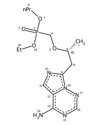 CCCOP(=O)(CO[C@H](C)Cc1ncc2c(N)ncnn12)OCC